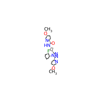 CCOc1ccc(C(=O)N[C@H]2C[C@H](c3nnc(-c4ccc(OCC)cn4)n3-c3ccccc3F)C2)nc1